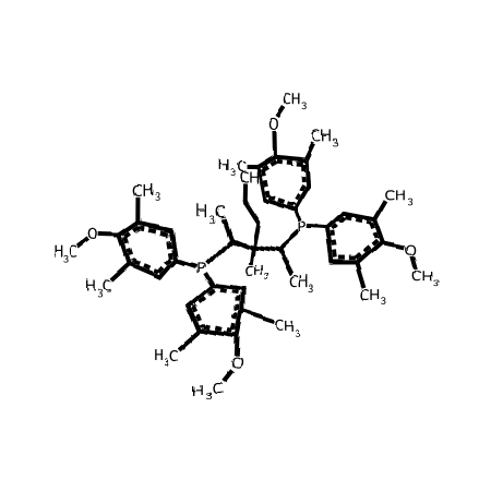 CCCC(C)(C(C)P(c1cc(C)c(OC)c(C)c1)c1cc(C)c(OC)c(C)c1)C(C)P(c1cc(C)c(OC)c(C)c1)c1cc(C)c(OC)c(C)c1